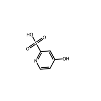 O=S(=O)(O)c1cc(O)ccn1